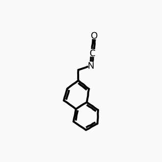 O=C=NCc1ccc2ccccc2c1